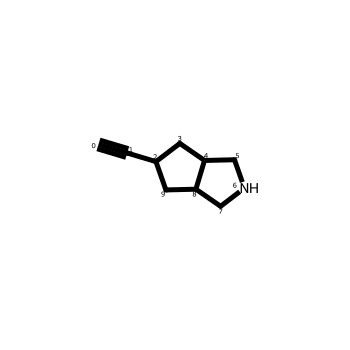 [C]#CC1CC2CNCC2C1